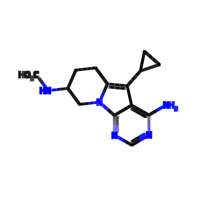 Nc1ncnc2c1c(C1CC1)c1n2CC(NC(=O)O)CC1